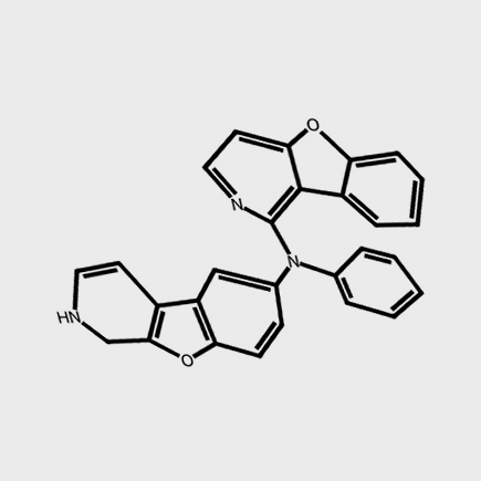 C1=Cc2c(oc3ccc(N(c4ccccc4)c4nccc5oc6ccccc6c45)cc23)CN1